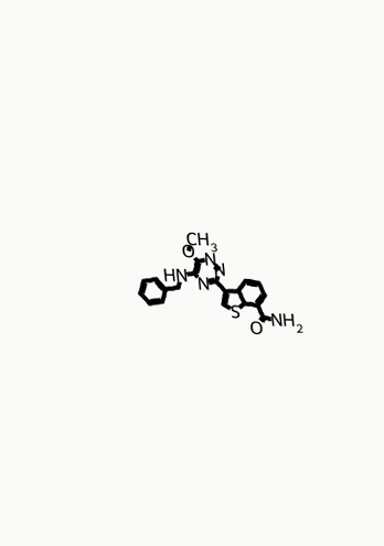 COc1nnc(C2=CSC3C(C(N)=O)=CC=CC23)nc1NCc1ccccc1